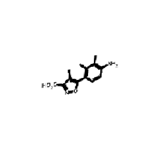 Cc1c(C(=O)O)noc1-c1ccc(N)c(C)c1C